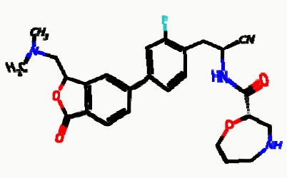 CN(C)CC1OC(=O)c2ccc(-c3ccc(C[C@@H](C#N)NC(=O)[C@@H]4CNCCCO4)c(F)c3)cc21